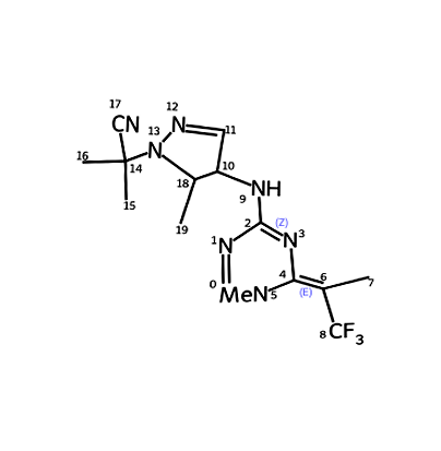 C=N/C(=N\C(NC)=C(/C)C(F)(F)F)NC1C=NN(C(C)(C)C#N)C1C